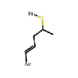 CCSC(C)CC=CC(C)=O